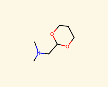 CN(C)CC1OCCCO1